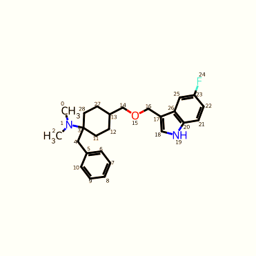 CN(C)C1(Cc2ccccc2)CCC(COCc2c[nH]c3ccc(F)cc23)CC1